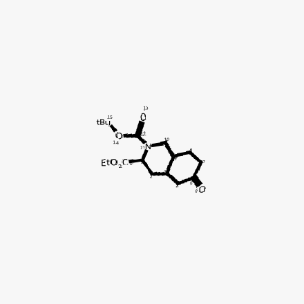 CCOC(=O)C1CC2CC(=O)CCC2CN1C(=O)OC(C)(C)C